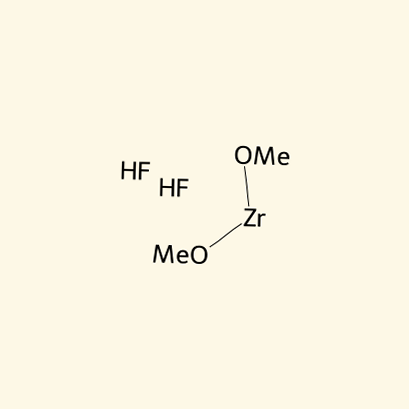 C[O][Zr][O]C.F.F